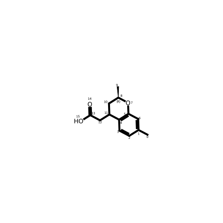 Cc1ccc2c(c1)O[C@H](C)CC2CC(=O)O